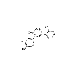 Cc1cc(-c2cc(-c3ccccc3Br)nc[n+]2[O-])ccc1O